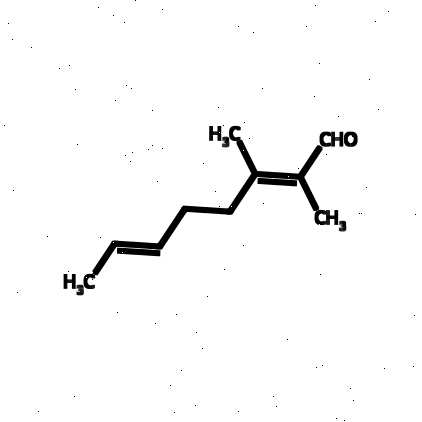 C/C=C/CC/C(C)=C(\C)C=O